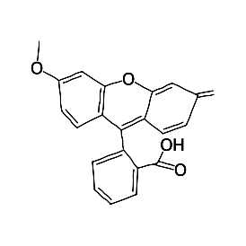 C=c1ccc2c(c1)Oc1cc(OC)ccc1C=2c1ccccc1C(=O)O